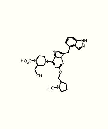 CN1CCCC1COc1nc(N2CCN(C(=O)O)C(CC#N)C2)c2ncc(Cc3cccc4[nH]ncc34)n2n1